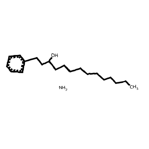 CCCCCCCCCCCC(O)CCc1ccccc1.N